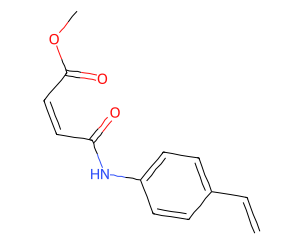 C=Cc1ccc(NC(=O)/C=C\C(=O)OC)cc1